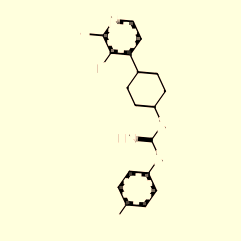 Cc1nccc(C2CCC(NC(=N)Nc3ccc(F)cc3)CC2)c1F